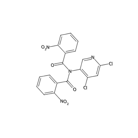 O=C(c1ccccc1[N+](=O)[O-])N(C(=O)c1ccccc1[N+](=O)[O-])c1cnc(Cl)cc1Cl